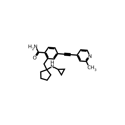 Cc1cc(C#Cc2ccc(C(N)=O)c(CC3(NC4CC4)CCCC3)c2)ccn1